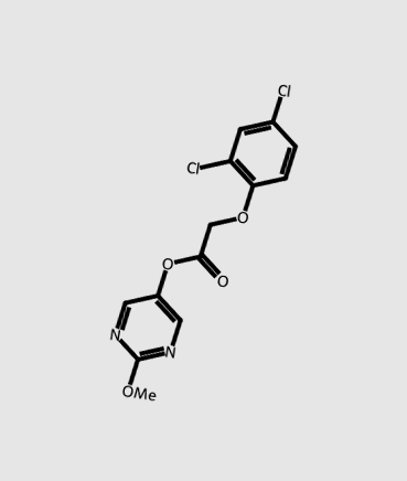 COc1ncc(OC(=O)COc2ccc(Cl)cc2Cl)cn1